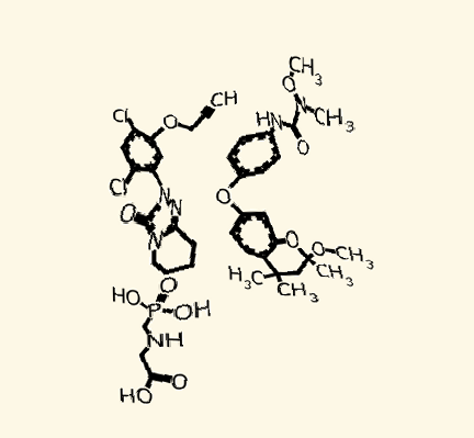 C#CCOc1cc(-n2nc3n(c2=O)CCCC3)c(Cl)cc1Cl.CON(C)C(=O)Nc1ccc(Oc2ccc3c(c2)OC(C)(OC)CC3(C)C)cc1.O=C(O)CNCP(=O)(O)O